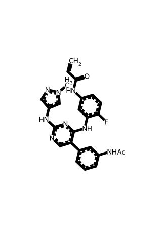 C=CC(=O)Nc1ccc(F)c(Nc2nc(Nc3cnn(C)c3)ncc2-c2cccc(NC(C)=O)c2)c1